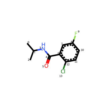 CC(C)NC(=O)c1cc(F)ccc1Cl